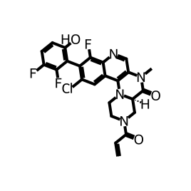 C=CC(=O)N1CCN2c3c(cnc4c(F)c(-c5c(O)ccc(F)c5F)c(Cl)cc34)N(C)C(=O)[C@H]2C1